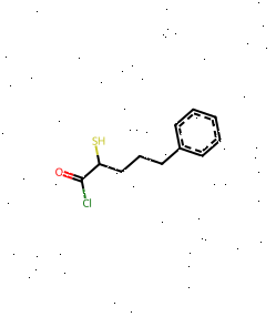 O=C(Cl)C(S)CCCc1ccccc1